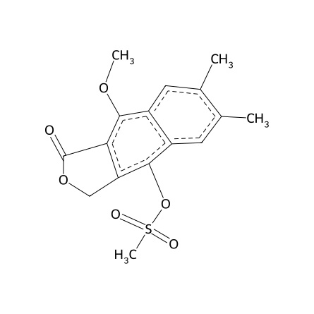 COc1c2c(c(OS(C)(=O)=O)c3cc(C)c(C)cc13)COC2=O